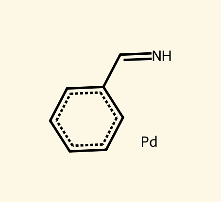 N=Cc1ccccc1.[Pd]